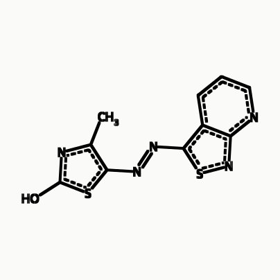 Cc1nc(O)sc1/N=N/c1snc2ncccc12